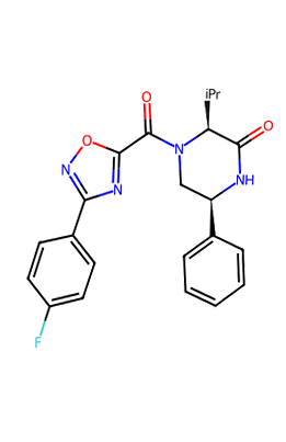 CC(C)[C@H]1C(=O)N[C@@H](c2ccccc2)CN1C(=O)c1nc(-c2ccc(F)cc2)no1